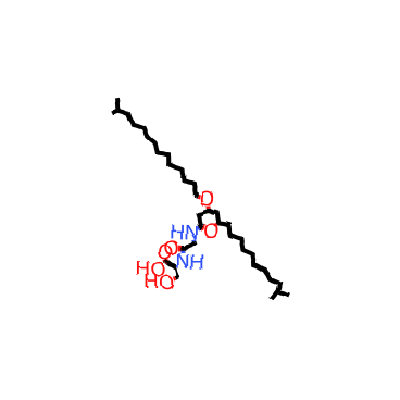 CC(C)CCCCCCCCCCCCOC(CCCCCCCCCCCC(C)C)CC(=O)NCC(=O)N[C@@H](CO)C(=O)O